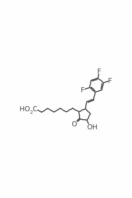 O=C(O)CCCCCCC1C(=O)C(O)CC1C=Cc1cc(F)c(F)cc1F